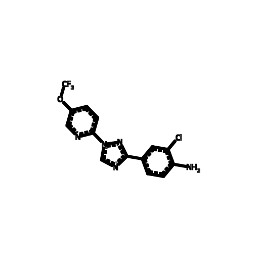 Nc1ccc(-c2ncn(-c3ccc(OC(F)(F)F)cn3)n2)cc1Cl